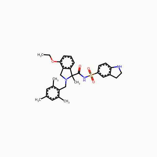 CCOc1cccc2c1CN(Cc1c(C)cc(C)cc1C)C2(C)C(=O)NS(=O)(=O)c1ccc2c(c1)CCN2